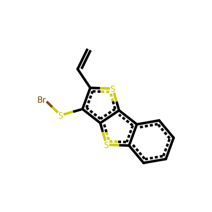 C=Cc1sc2c(sc3ccccc32)c1SBr